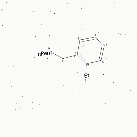 CCCCCCc1ccc[c]c1CC